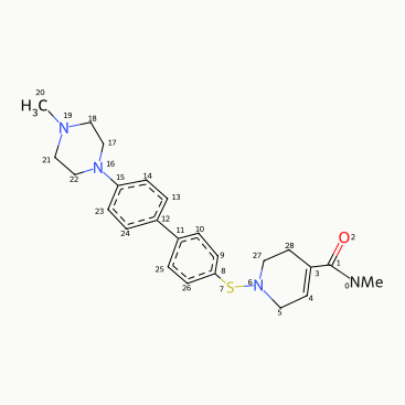 CNC(=O)C1=CCN(Sc2ccc(-c3ccc(N4CCN(C)CC4)cc3)cc2)CC1